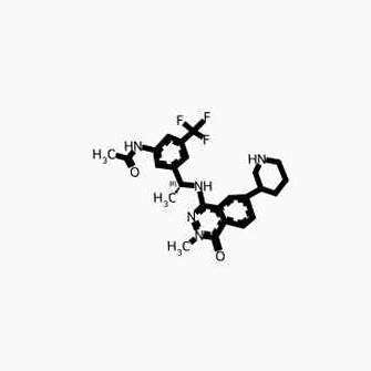 CC(=O)Nc1cc([C@@H](C)Nc2nn(C)c(=O)c3ccc(C4CCCNC4)cc23)cc(C(F)(F)F)c1